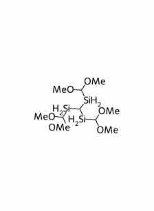 COC(OC)[SiH2]C([SiH2]C(OC)OC)[SiH2]C(OC)OC